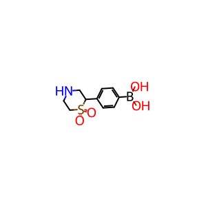 O=S1(=O)CCNCC1c1ccc(B(O)O)cc1